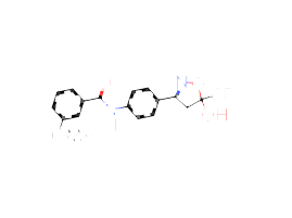 COc1cccc(C(=O)Nc2ccc(C3=NOC(O)(C(F)(F)F)C3)cc2)c1